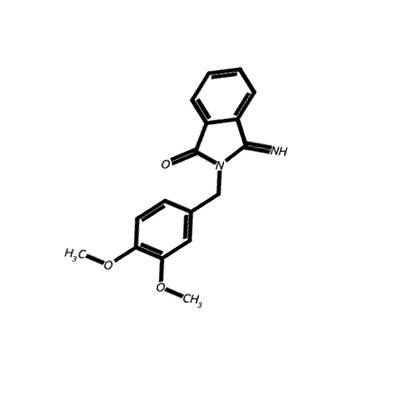 COc1ccc(CN2C(=N)c3ccccc3C2=O)cc1OC